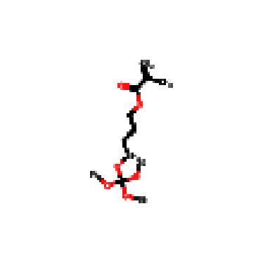 C=C(C)C(=O)OCCC[SiH2]OC(OCC)(OCC)OCC